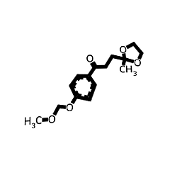 COCOc1ccc(C(=O)CCC2(C)OCCO2)cc1